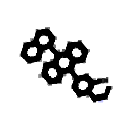 C/C=C\c1ccc(-c2c3ccccc3c(-c3cccc4ccccc34)c3ccccc23)cc1S